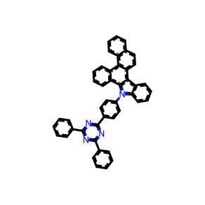 c1ccc(-c2nc(-c3ccccc3)nc(-c3ccc(-n4c5ccccc5c5c6ccc7ccccc7c6c6ccccc6c54)cc3)n2)cc1